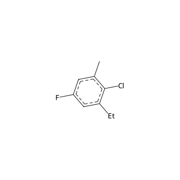 CCc1cc(F)cc(C)c1Cl